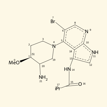 CO[C@H]1CCN(c2c(Br)cnc3[nH]cc(NC(=O)C(C)C)c23)CC1N